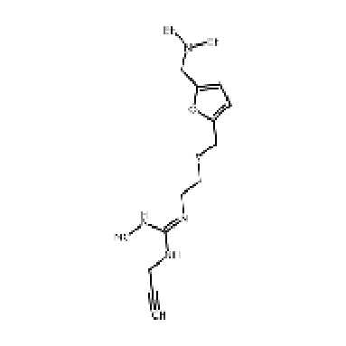 C#CCN/C(=N/CCSCc1ccc(CN(CC)CC)o1)NC#N